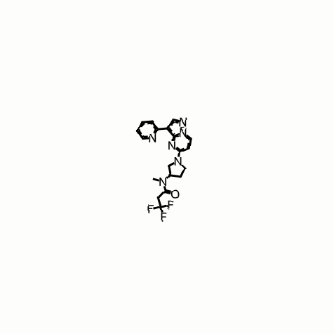 CN(C(=O)CC(F)(F)F)C1CCN(c2ccn3ncc(-c4ccccn4)c3n2)C1